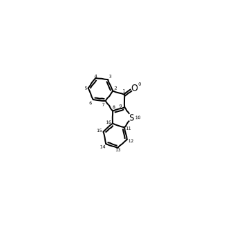 O=C1c2ccccc2-c2c1sc1ccccc21